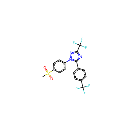 CS(=O)(=O)c1ccc(-n2nc(C(F)(F)F)nc2-c2ccc(C(F)(F)F)cc2)cc1